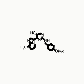 COc1ccc(CNc2ncc(C#N)c(-c3cnc4c(C)cccn34)n2)cc1